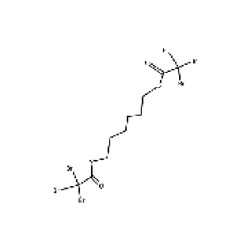 O=C(SCCCCCCSC(=O)C(Br)(Br)Br)C(Br)(Br)Br